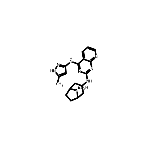 Cc1cc(Nc2nc(NC3CC4CCC(C3)N4C(=O)O)nc3ncccc23)n[nH]1